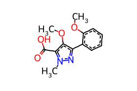 COc1ccccc1-c1nn(C)c(C(=O)O)c1OC